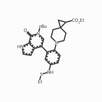 CCCCn1cc(-c2cc(NSCC)ccc2N2CCC3(CC2)CC3C(=O)OCC)c2cc[nH]c2c1=O